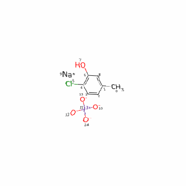 Cc1ccc(Cl)c(O)c1.[Na+].[O-][I+3]([O-])([O-])[O-]